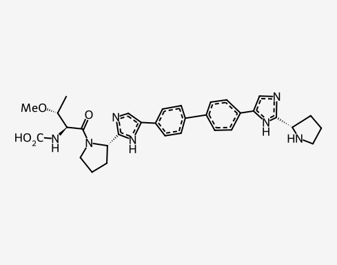 CO[C@H](C)[C@H](NC(=O)O)C(=O)N1CCC[C@H]1c1ncc(-c2ccc(-c3ccc(-c4cnc([C@@H]5CCCN5)[nH]4)cc3)cc2)[nH]1